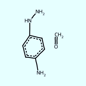 C=O.NNc1ccc(N)cc1